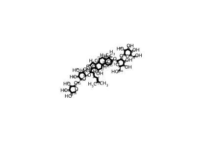 CC(C)=CCC[C@](C)(O[C@@H]1O[C@H](CO[C@@H]2OC[C@H](O)[C@H](O)[C@H]2O)[C@@H](O)C(O)[C@H]1O)[C@H]1CC[C@]2(C)[C@@H]1[C@H](O)C[C@@H]1[C@@]3(C)CC[C@H](O[C@@H]4O[C@H](CO)[C@@H](O)[C@H](O)[C@H]4O[C@@H]4O[C@H](CO)[C@@H](O)[C@H](O)[C@H]4O)C(C)(C)[C@@H]3CC[C@]12C